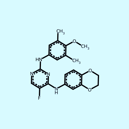 COc1c(C)cc(Nc2ncc(F)c(Nc3ccc4c(c3)OCCO4)n2)cc1C